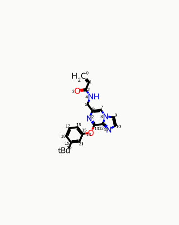 C=CC(=O)NCc1cn2ccnc2c(Oc2cccc(C(C)(C)C)c2)n1